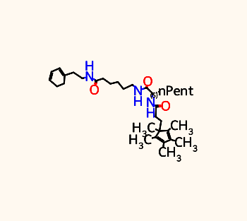 CCCCC[C@H](NC(=O)CCC1(C)C(C)=C(C)C(C)=C1C)C(=O)NCCCCCC(=O)NCCC1=CC=CCC1